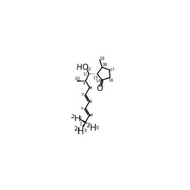 [2H]C([2H])([2H])C=CC=CC[C@@H](C)C(O)[C@H]1C(=O)CCC1C